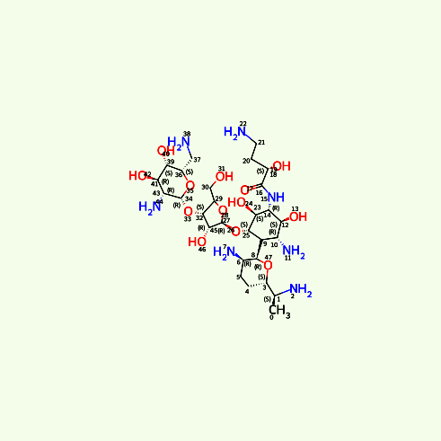 C[C@H](N)[C@@H]1CC[C@@H](N)[C@@H](C2[C@@H](N)[C@H](O)[C@@H](NC(=O)[C@@H](O)CCN)[C@H](O)[C@H]2O[C@@H]2OC(CO)[C@@H](O[C@H]3O[C@@H](CN)[C@@H](O)[C@H](O)[C@H]3N)[C@H]2O)O1